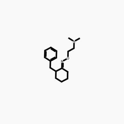 CN(C)CCON=C1CCCCC1Cc1ccccc1